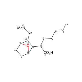 CC=CCCC(C(=O)O)C1C2CCC(O2)C1CNC